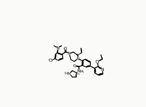 CCOc1ncccc1-c1ccc(N2CCN(C(=O)c3ccc(Cl)cc3N(C)C)C[C@H]2CC)c(C(=O)N[C@@H]2CCNC2)c1